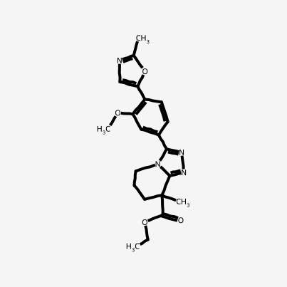 CCOC(=O)C1(C)CCCn2c(-c3ccc(-c4cnc(C)o4)c(OC)c3)nnc21